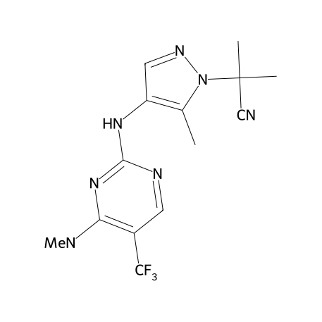 CNc1nc(Nc2cnn(C(C)(C)C#N)c2C)ncc1C(F)(F)F